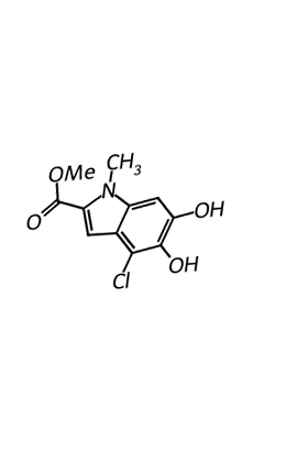 COC(=O)c1cc2c(Cl)c(O)c(O)cc2n1C